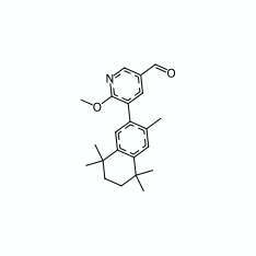 COc1ncc(C=O)cc1-c1cc2c(cc1C)C(C)(C)CCC2(C)C